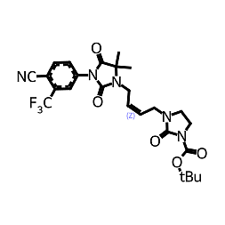 CC(C)(C)OC(=O)N1CCN(C/C=C\CN2C(=O)N(c3ccc(C#N)c(C(F)(F)F)c3)C(=O)C2(C)C)C1=O